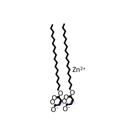 CCCCCCCCCCCCCCCCCCOC(=O)/C=C\C(=O)[O-].CCCCCCCCCCCCCCCCCCOC(=O)/C=C\C(=O)[O-].[Zn+2]